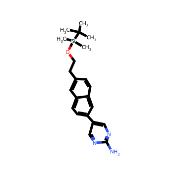 CC(C)(C)[Si](C)(C)OCCc1ccc2cc(-c3cnc(N)nc3)ccc2c1